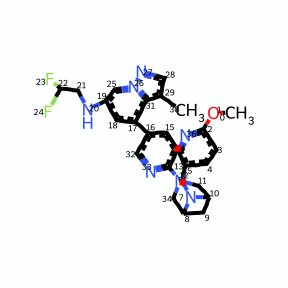 COc1ccc(CN2C3CC2CN(c2ccc(-c4cc(NCC(F)F)cn5ncc(C)c45)cn2)C3)cn1